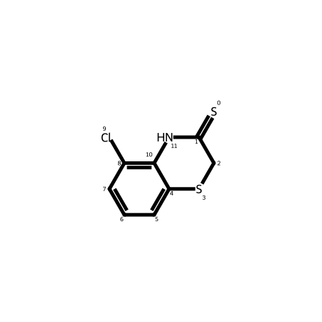 S=C1CSc2cccc(Cl)c2N1